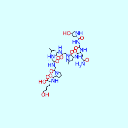 CC(C)C[C@H](NC(=O)CNC(=O)[C@H](CC(C)C)NC(=O)[C@H](CCC(N)=O)NC(=O)CNC(=O)[C@@H]1C[C@@H](O)CN1)C(=O)N[C@@H](C)C(=O)NCC(=O)N1CCCC1C(=O)N[C@@H](CCCCO)C(=O)O